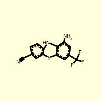 N#Cc1ccc2c(c1)Sc1cc(C(F)(F)F)cc(N)c1N2